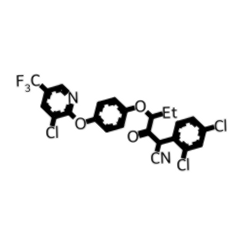 CCC(Oc1ccc(Oc2ncc(C(F)(F)F)cc2Cl)cc1)C(=O)C(C#N)c1ccc(Cl)cc1Cl